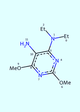 CCN(CC)c1nc(OC)nc(OC)c1N